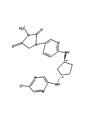 CN1C(=O)CN(c2ccc(N[C@H]3CC[C@H](Nc4cnc(Cl)cn4)C3)nc2)C1=O